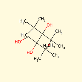 CC(C)(C)C(O)(CO)C(O)(C(C)(C)C)C(C)(C)C